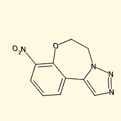 O=[N+]([O-])c1cccc2c1OCCn1nncc1-2